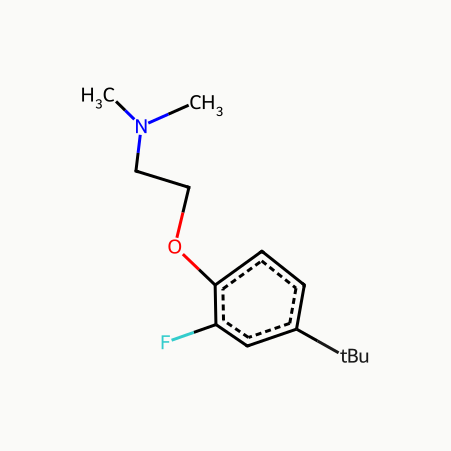 CN(C)CCOc1ccc(C(C)(C)C)cc1F